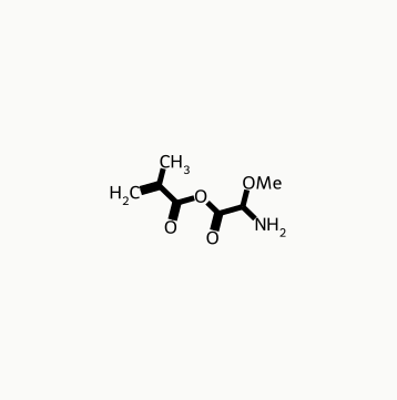 C=C(C)C(=O)OC(=O)C(N)OC